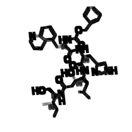 CC[C@H](C)[C@@H](CO)NC(=O)C[C@H](O)[C@H](CC(C)C)NC(=O)[C@H](Cc1c[nH]cn1)NC(=O)[C@H](Cc1cccc2ncccc12)NC(=O)OCc1ccccc1